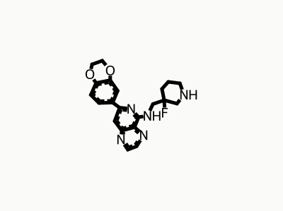 FC1(CNc2nc(-c3ccc4c(c3)OCCO4)cc3nccnc23)CCCNC1